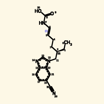 CC[C@H](CC/C=C/NC(=O)O)Cn1cnc2ccc(C#N)cc21